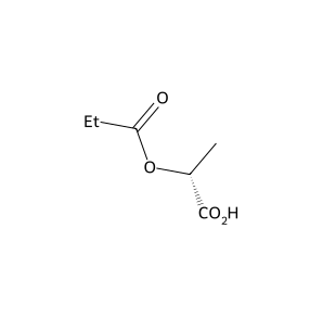 CCC(=O)O[C@H](C)C(=O)O